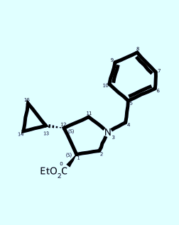 CCOC(=O)[C@@H]1CN(Cc2ccccc2)C[C@H]1C1CC1